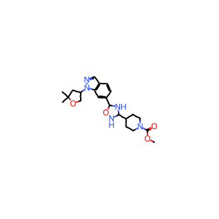 COC(=O)N1CCC(C2NOC(c3ccc4cnn(C5COC(C)(C)C5)c4c3)N2)CC1